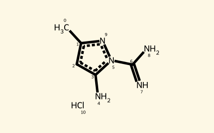 Cc1cc(N)n(C(=N)N)n1.Cl